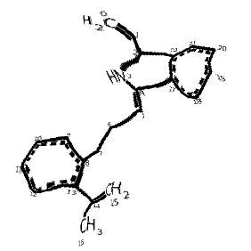 C=CC1N/C(=C\CCc2ccccc2C(=C)C)c2ccccc21